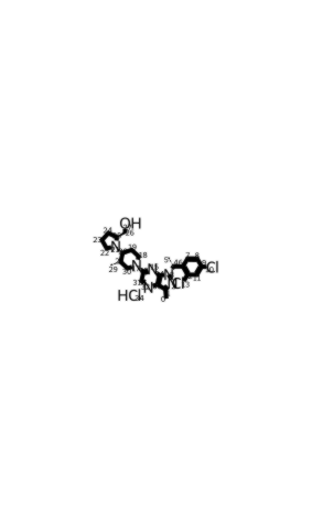 Cc1nn([C@H](C)c2ccc(Cl)cc2Cl)c2nc(N3CC[C@@H](N4CCC[C@H]4CO)[C@@H](C)C3)cnc12.Cl